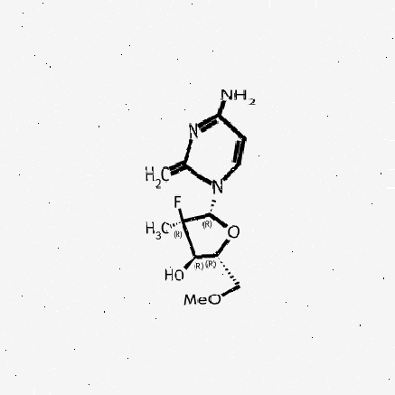 C=C1N=C(N)C=CN1[C@@H]1O[C@H](COC)[C@@H](O)[C@@]1(C)F